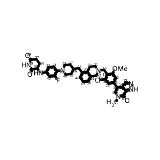 COc1cc(-c2cn(C)c(=O)c3[nH]ncc23)cc(Cl)c1CN1CCc2c(CC3CCN(c4ccc(NC5CCC(=O)NC5=O)cc4F)CC3)cccc2C1